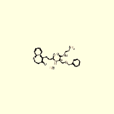 Cl.NCCNC(=O)[C@@H](COCc1ccccc1)NC(=O)CCC1=c2ccccc2=NCCC1=O